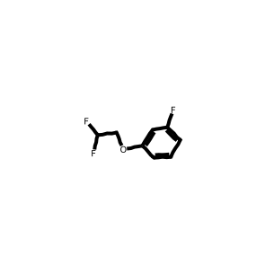 Fc1cc[c]c(OCC(F)F)c1